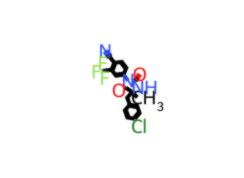 CC1(Cc2ccc(Cl)cc2)NC(=O)N(c2ccc(C#N)c(C(F)(F)F)c2)C1=O